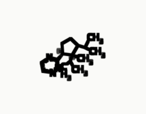 CC(C)C1CC[C@H](c2nccnn2)[C@@]1(C)C(C)C